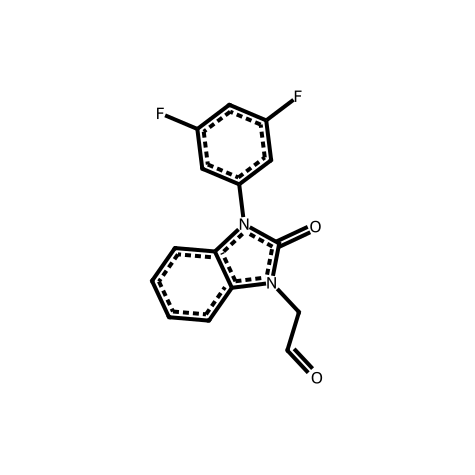 O=CCn1c(=O)n(-c2cc(F)cc(F)c2)c2ccccc21